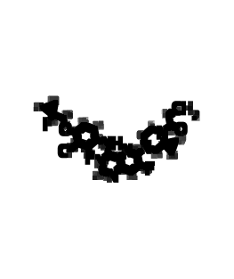 C=CC(=O)N1CCN(c2nc3c(Nc4ccc(OCC5(F)CC5)c(Cl)c4F)ncnc3cc2F)CC12CC2